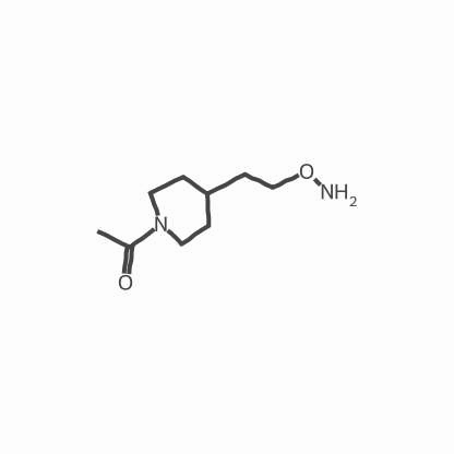 CC(=O)N1CCC(CCON)CC1